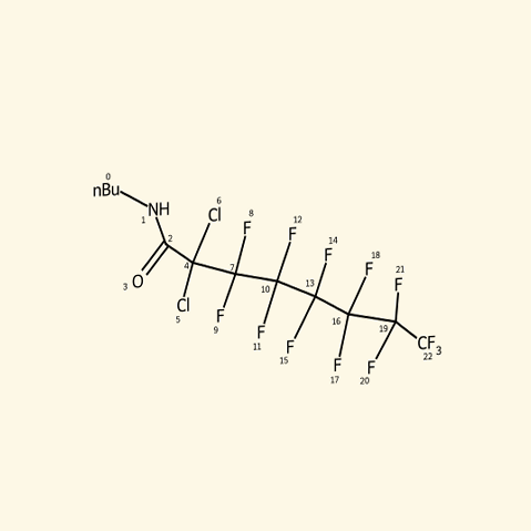 CCCCNC(=O)C(Cl)(Cl)C(F)(F)C(F)(F)C(F)(F)C(F)(F)C(F)(F)C(F)(F)F